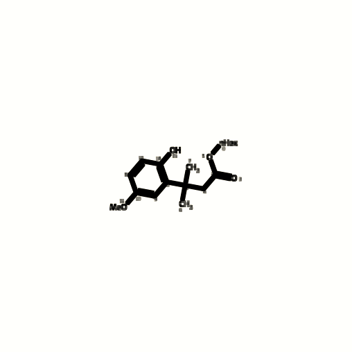 CCCCCCOC(=O)CC(C)(C)c1cc(OC)ccc1O